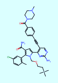 Cc1ccc(Cl)cc1-c1c(C(N)=O)cc(-c2nc(N)ncc2C#Cc2ccc(C(=O)N3CCN(C)CC3)cc2)n1COCC[Si](C)(C)C